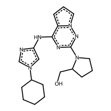 OCC1CCCN1c1nc(Nc2cn(C3CCCCC3)cn2)c2cccn2n1